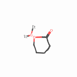 CCOCC.O=C1CCCCO1